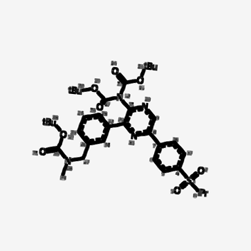 CC(C)S(=O)(=O)c1ccc(-c2cnc(N(C(=O)OC(C)(C)C)C(=O)OC(C)(C)C)c(-c3cccc(CN(C)C(=O)OC(C)(C)C)c3)n2)cc1